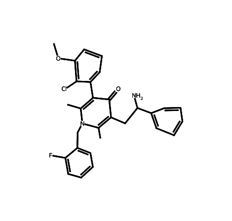 COc1cccc(-c2c(C)n(Cc3ccccc3F)c(C)c(CC(N)c3ccccc3)c2=O)c1Cl